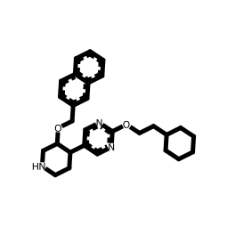 c1ccc2cc(COC3CNCCC3c3cnc(OCCC4CCCCC4)nc3)ccc2c1